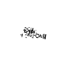 CN(c1cnc(-c2ccc(-n3cnnc3)cc2O)nn1)[C@H]1CC2CC[C@@](C)(N2)[C@H]1F